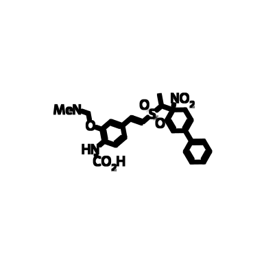 CNCOc1cc(C=CS(=O)(=O)C(C)C2([N+](=O)[O-])C=CC(c3ccccc3)=CC2)ccc1NC(=O)O